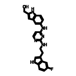 OCc1cc2cc(Nc3ccnc(NCCc4c[nH]c5ccc(F)cc45)n3)ccc2[nH]1